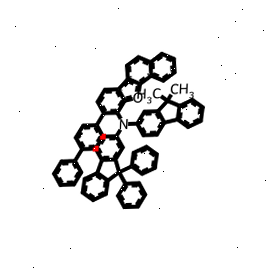 CC1(C)c2ccccc2-c2ccc(N(c3ccc4c(c3)C(c3ccccc3)(c3ccccc3)c3ccccc3-4)c3c(-c4ccc(-c5ccccc5)cc4)ccc4c3oc3c5ccccc5ccc43)cc21